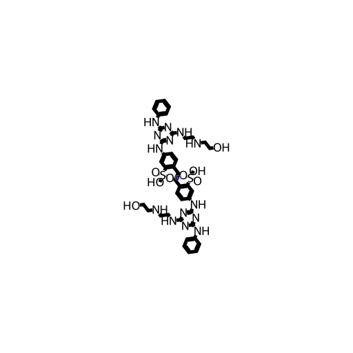 O=S(=O)(O)c1cc(Nc2nc(NCCNCCO)nc(Nc3ccccc3)n2)ccc1/C=C/c1ccc(Nc2nc(NCCNCCO)nc(Nc3ccccc3)n2)cc1S(=O)(=O)O